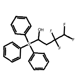 OC(CC(F)(F)[C](F)F)S(c1ccccc1)(c1ccccc1)c1ccccc1